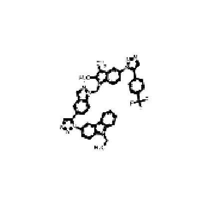 CCn1c2ccccc2c2cc(-n3nncc3-c3ccc4c(cnn4Cn4c(C)c(C)c5cc(-n6nncc6-c6ccc(C(F)(F)F)cc6)ccc54)c3)ccc21